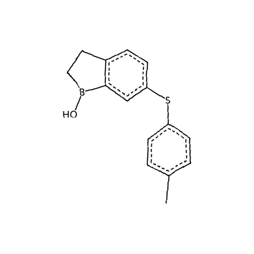 Cc1ccc(Sc2ccc3c(c2)B(O)CC3)cc1